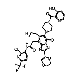 CCc1c(N2CCN(C(=O)c3ncccc3O)CC2)c(=O)n2nc(C3=COCCO3)nc2n1CC(=O)Nc1ccc(C(F)(F)F)nc1Cl